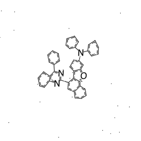 c1ccc(-c2nc(-c3cc4ccccc4c4oc5cc(N(c6ccccc6)c6ccccc6)ccc5c34)nc3ccccc23)cc1